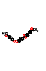 C=CC(=O)c1ccc(-c2ccc(OCOc3ccc4c(c3)Cc3cc(C(=O)Oc5ccc(-c6ccc(C(=O)C=C)cc6)cc5)ccc3-4)cc2)cc1